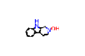 ON1C=Cc2c([nH]c3ccccc23)C1